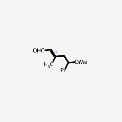 COC(C/C(C)=C/C=O)C(C)C